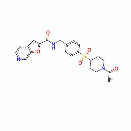 CC(C)C(=O)N1CCC(S(=O)(=O)c2ccc(CNC(=O)c3cc4ccncc4o3)cc2)CC1